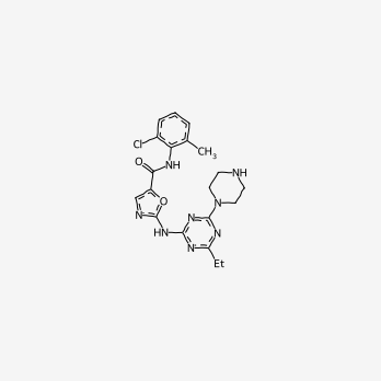 CCc1nc(Nc2ncc(C(=O)Nc3c(C)cccc3Cl)o2)nc(N2CCNCC2)n1